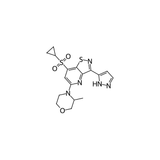 CC1COCCN1c1cc(S(=O)(=O)C2CC2)c2snc(-c3ccn[nH]3)c2n1